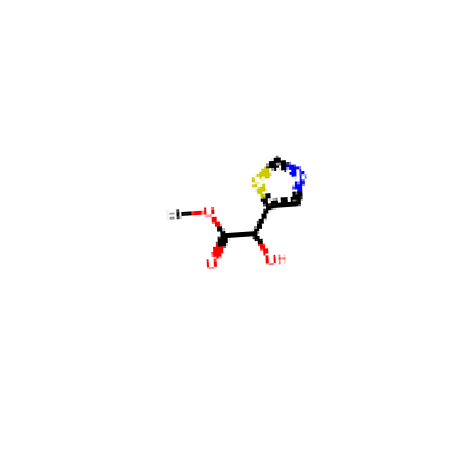 CCOC(=O)C(O)c1cn[c]s1